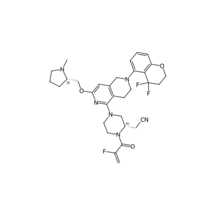 C=C(F)C(=O)N1CCN(c2nc(OC[C@@H]3CCCN3C)cc3c2CCN(c2cccc4c2C(F)(F)CCO4)C3)C[C@@H]1CC#N